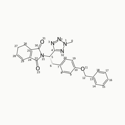 Cn1nnc([C@H](Cc2ccc(OCc3ccccc3)cc2)N2C(=O)C3=C(CCC=C3)C2=O)n1